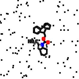 O=C(O)C1CC2CCCCC2N1C(=O)OCC1c2ccccc2-c2ccccc21